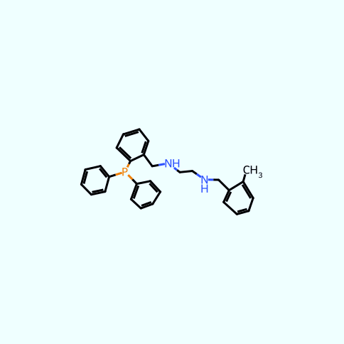 Cc1ccccc1CNCCNCc1ccccc1P(c1ccccc1)c1ccccc1